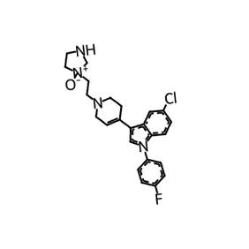 [O-][N+]1(CCN2CC=C(c3cn(-c4ccc(F)cc4)c4ccc(Cl)cc34)CC2)CCNC1